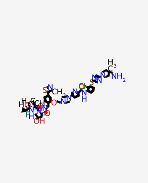 Cc1ncsc1-c1ccc(CNC(=O)[C@@H]2C[C@@H](O)CN2C(=O)[C@@H](NC(=O)C2(F)CC2)C(C)(C)C)c(OCCN2CCN(c3ccc(C(=O)Nc4cccc(Sc5cnc(N6CCC(C)(CN)CC6)cn5)c4Cl)nc3)CC2)c1